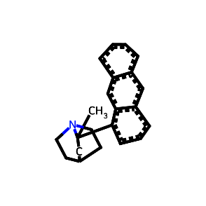 CC1(c2cccc3cc4ccccc4cc23)CC2CCN1CC2